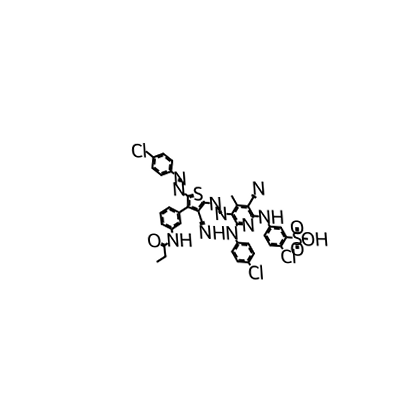 CCC(=O)Nc1cccc(-c2c(N=Nc3ccc(Cl)cc3)sc(N=Nc3c(Nc4ccc(Cl)cc4)nc(Nc4ccc(Cl)c(S(=O)(=O)O)c4)c(C#N)c3C)c2C#N)c1